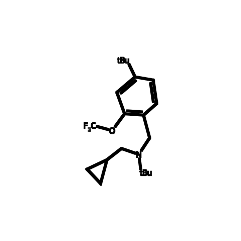 CC(C)(C)c1ccc(CN(CC2CC2)C(C)(C)C)c(OC(F)(F)F)c1